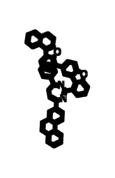 C1=C(c2ccc3c(ccc4ccccc43)c2)N=C(c2cccc3oc4ccc(-c5cccc6c5oc5ccc7ccccc7c56)cc4c23)N=C(c2ccccc2)C1